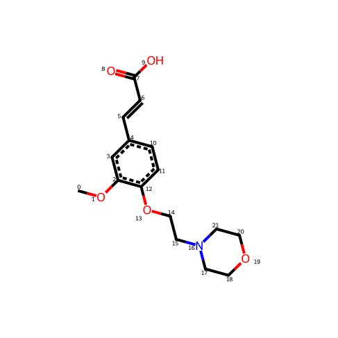 COc1cc(C=CC(=O)O)ccc1OCCN1CCOCC1